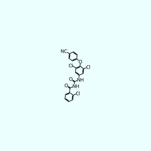 N#Cc1ccc(Oc2c(Cl)cc(NC(=O)NC(=O)c3ccccc3Cl)cc2Cl)cc1